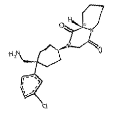 NC[C@]1(c2cccc(Cl)c2)CC[C@H](N2CC(=O)N3CCCC[C@H]3C2=O)CC1